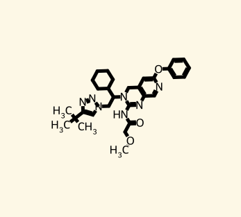 COCC(=O)NC1=Nc2cnc(Oc3ccccc3)cc2CN1C(Cn1cc(C(C)(C)C)nn1)C1CCCCC1